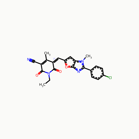 CCN1C(=O)C(C#N)=C(C)/C(=C/c2cc3c(nc(-c4ccc(Cl)cc4)n3C)o2)C1=O